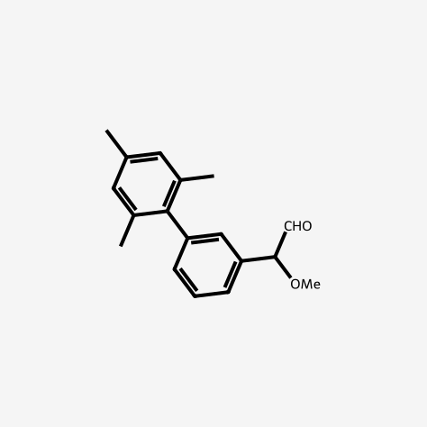 COC(C=O)c1cccc(-c2c(C)cc(C)cc2C)c1